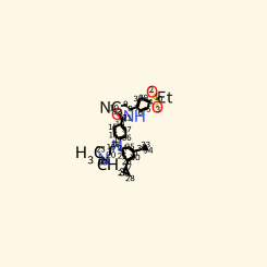 CCS(=O)(=O)c1ccc([C@H](CC#N)NC(=O)c2ccc(N(CCN(C)C)c3cc(C4CC4)cc(C4CC4)c3)cc2)cc1